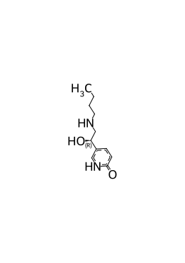 CCCCNC[C@H](O)c1ccc(=O)[nH]c1